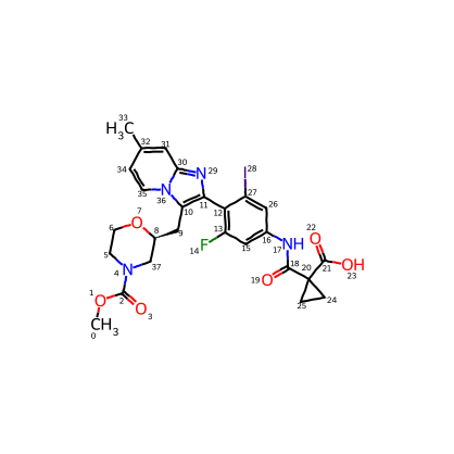 COC(=O)N1CCO[C@@H](Cc2c(-c3c(F)cc(NC(=O)C4(C(=O)O)CC4)cc3I)nc3cc(C)ccn23)C1